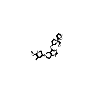 COc1ncc(N2CCc3ncnc(OC4CC[N+](C=O)(c5ccno5)C4)c3C2)cc1C